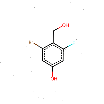 OCc1c(F)cc(O)cc1Br